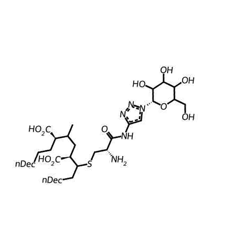 CCCCCCCCCCCC[C@@H](C(=O)O)C(C)C[C@H](C(=O)O)C(CCCCCCCCCCC)SC[C@@H](N)C(=O)Nc1cn([C@H]2OC(CO)C(O)C(O)C2O)nn1